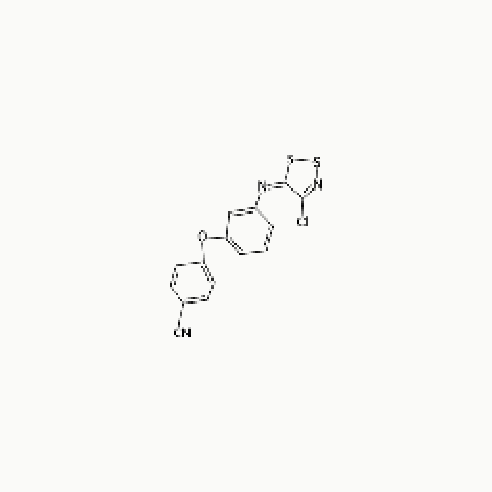 N#Cc1ccc(Oc2cccc(/N=c3/ssnc3Cl)c2)cc1